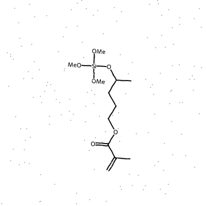 C=C(C)C(=O)OCCCC(C)O[Si](OC)(OC)OC